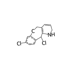 Clc1ccc2c(c1)CCC1=C(NCC=C1)C2Cl